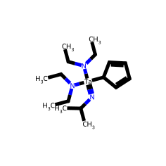 CC[N](CC)[Ta](=[N]C(C)C)([CH]1C=CC=C1)[N](CC)CC